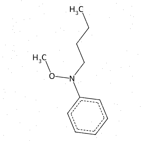 CCCCN(OC)c1ccccc1